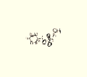 C#CCS(=O)(=O)OCc1ccccc1